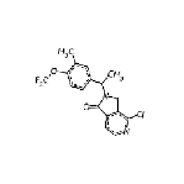 Cc1cc(C(C)N2Cc3c(ccnc3Cl)C2=O)ccc1OC(F)(F)F